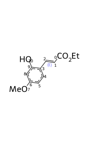 CCOC(=O)/C=C/c1ccc(OC)cc1O